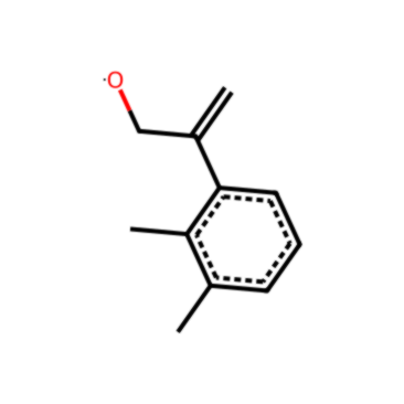 C=C(C[O])c1cccc(C)c1C